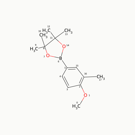 COc1ccc(B2OC(C)(C)C(C)(C)O2)cc1C